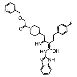 N=C(CC1CCN(C(=O)COCc2cccnc2)CC1)/C(CCc1ccc(F)cc1)=C(/O)Nc1nc2ccccc2[nH]1